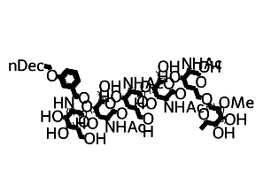 CCCCCCCCCCCOc1cccc(C(=O)N[C@H]2C(O)[C@H](O)C(CO)O[C@H]2O[C@H]2C(O)C(NC(C)=O)C(OC3C(CO)O[C@@H](O[C@H]4C(O)C(NC(C)=O)C(OC5C(CO[C@@H]6OC(C)C(O)[C@H](O)[C@H]6OC)OC(O)[C@@H](NC(C)=O)C5O)O[C@H]4CO)[C@@H](NC(C)=O)C3O)O[C@H]2CO)c1